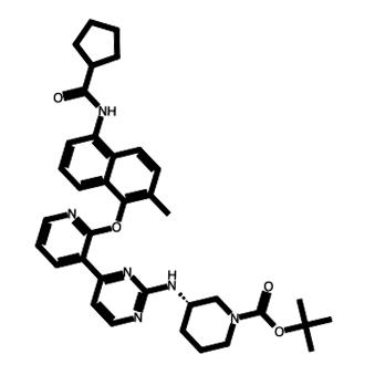 Cc1ccc2c(NC(=O)C3CCCC3)cccc2c1Oc1ncccc1-c1ccnc(N[C@H]2CCCN(C(=O)OC(C)(C)C)C2)n1